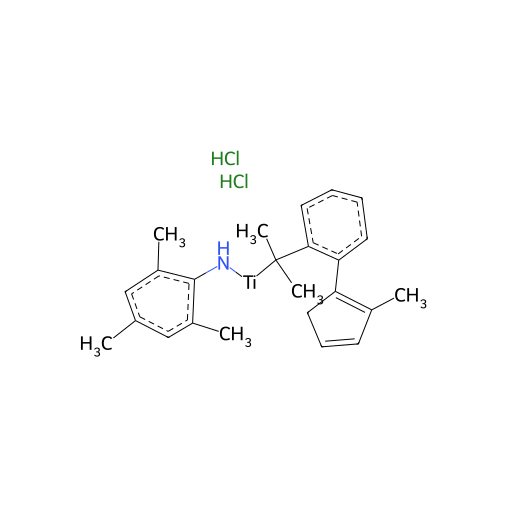 CC1=C(c2ccccc2[C](C)(C)[Ti][NH]c2c(C)cc(C)cc2C)CC=C1.Cl.Cl